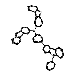 c1ccc(-n2c3ccccc3c3cc(-c4ccc(N(c5ccc6sc7ccccc7c6c5)c5ccc6sc7ccccc7c6c5)cc4)ccc32)cc1